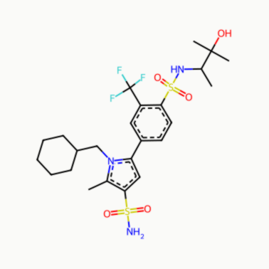 Cc1c(S(N)(=O)=O)cc(-c2ccc(S(=O)(=O)NC(C)C(C)(C)O)c(C(F)(F)F)c2)n1CC1CCCCC1